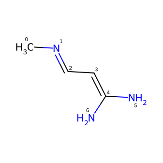 CN=CC=C(N)N